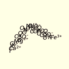 O=P([O-])([O-])[O-].O=S(=O)([O-])[O-].O=S(=O)([O-])[O-].O=[N+]([O-])[O-].O=[N+]([O-])[O-].[Ca+2].[Cl-].[Fe+3].[I-].[K+].[K+].[K+].[Mg+2].[NH4+]